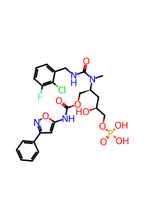 CN(C(=O)NCc1cccc(F)c1Cl)[C@H](COC(=O)Nc1cc(-c2ccccc2)no1)C[C@H](O)COP(=O)(O)O